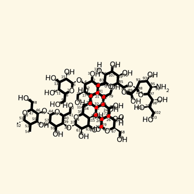 CC1C(O)[C@H](O[C@@H]2OC(CO)[C@H](O)C(O)[C@@H]2O)[C@H](CO)O[C@H]1O[C@@H]1C(O)[C@H](O)C(CO)O[C@@H]1OCC1O[C@@H](O[C@@H]2C(CO)O[C@@H](O[C@@H]3C(CO)O[C@@H](C)C(C)[C@H]3O)[C@@H](C)C2O)[C@H](O)C(O[C@H]2O[C@H](CO)[C@@H](O)C(O)C2O[C@@H]2OC(CO)[C@@H](O[C@@H]3OC(CO[C@]4(C(=O)O)C[C@@H](O)[C@@H](N)C([C@H](O)[C@H](O)CO)O4)[C@H](O)C(O)[C@@H]3O)C(O)[C@@H]2C)[C@@H]1O